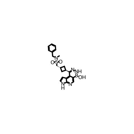 CN(Cc1ccccc1)S(=O)(=O)C[C@H]1C[C@H](C2=NNB(O)c3cnc4[nH]ccc4c32)C1